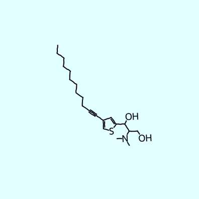 CCCCCCCCCCC#Cc1csc(C(O)C(CO)N(C)C)c1